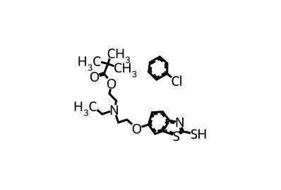 CCN(CCOC(=O)C(C)(C)C)CCOc1ccc2nc(S)sc2c1.Clc1ccccc1